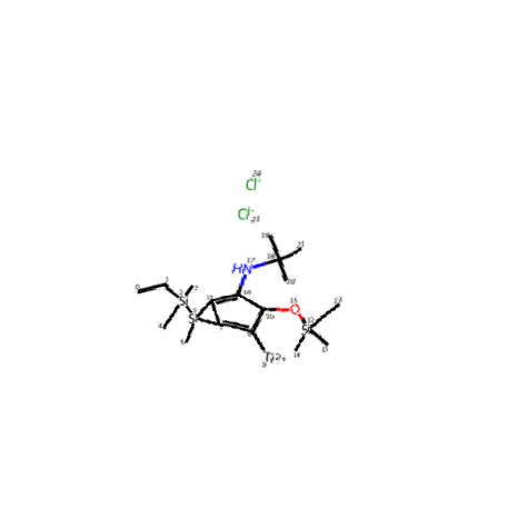 CC[Si](C)(C)[Si]1(C)C2=[C]([Ti+2])C(O[Si](C)(C)C)C(NC(C)(C)C)=C21.[Cl-].[Cl-]